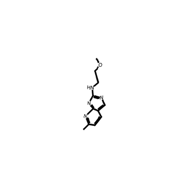 COCCNc1ncc2ccc(C)nc2n1